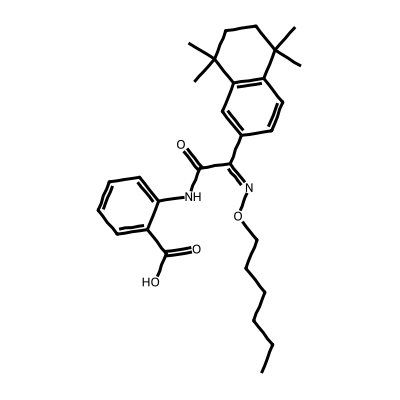 CCCCCCON=C(C(=O)Nc1ccccc1C(=O)O)c1ccc2c(c1)C(C)(C)CCC2(C)C